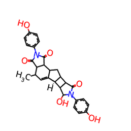 CC1C=C2C(CC3C4C(=O)N(c5ccc(O)cc5)C(O)C4[C@@H]23)C2C(=O)N(c3ccc(O)cc3)C(=O)C12